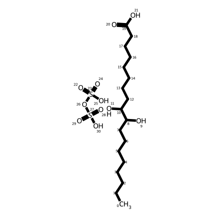 CCCCCCCCC(O)C(O)CCCCCCCC(=O)O.O=S(=O)(O)OS(=O)(=O)O